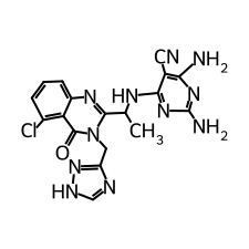 CC(Nc1nc(N)nc(N)c1C#N)c1nc2cccc(Cl)c2c(=O)n1Cc1nc[nH]n1